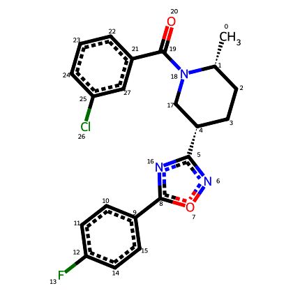 C[C@@H]1CC[C@H](c2noc(-c3ccc(F)cc3)n2)CN1C(=O)c1cccc(Cl)c1